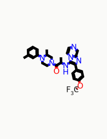 Cc1cccc(N2CCN(C(=O)C(C)Nc3c(-c4ccc(OC(F)(F)F)cc4)nc4cnccn34)CC2C)c1